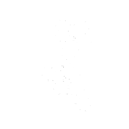 CC1=C=C(c2cccc(-c3cccc4c5cccc6c7cccc8cccc(c87)n(c34)c65)c2)N=C(c2ccccc2-c2ccccc2)N=C1c1ccc(-c2ccccc2)cc1